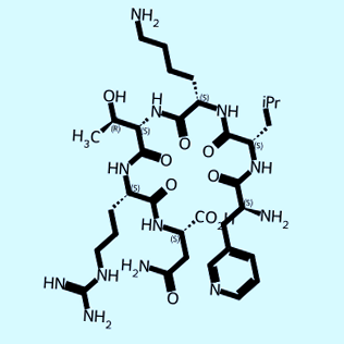 CC(C)C[C@H](NC(=O)[C@@H](N)Cc1cccnc1)C(=O)N[C@@H](CCCCN)C(=O)N[C@H](C(=O)N[C@@H](CCCNC(=N)N)C(=O)N[C@@H](CC(N)=O)C(=O)O)[C@@H](C)O